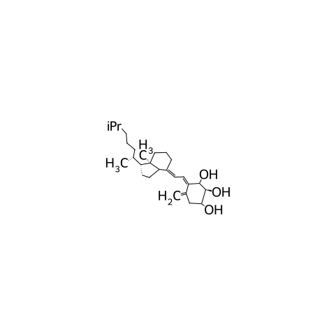 C=C1CC(O)[C@H](O)C(O)/C1=C/C=C1CCC[C@@]2(C)C1CC[C@@H]2[C@H](C)CCCC(C)C